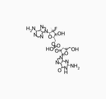 C[C@@]1(F)C(n2cnc3c(N)ncnc32)OC(COP(=O)(O)O[C@@H]2C[C@@H](CO)O[C@H]2n2cnc3c(=O)[nH]c(N)nc32)[C@H]1O